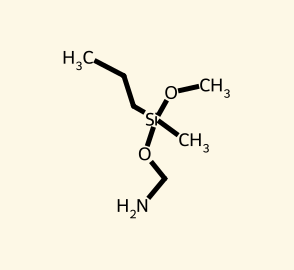 CCC[Si](C)(OC)OCN